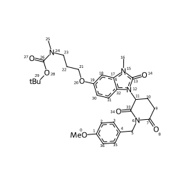 COc1ccc(CN2C(=O)CCC(n3c(=O)n(C)c4cc(OCCCN(C)C(=O)OC(C)(C)C)ccc43)C2=O)cc1